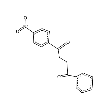 O=C(CCC(=O)c1ccc([N+](=O)[O-])cc1)c1ccccc1